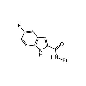 CCNC(=O)c1cc2cc(F)ccc2[nH]1